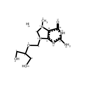 CN1CN(COC(CO)CO)c2nc(N)[nH]c(=O)c21.I